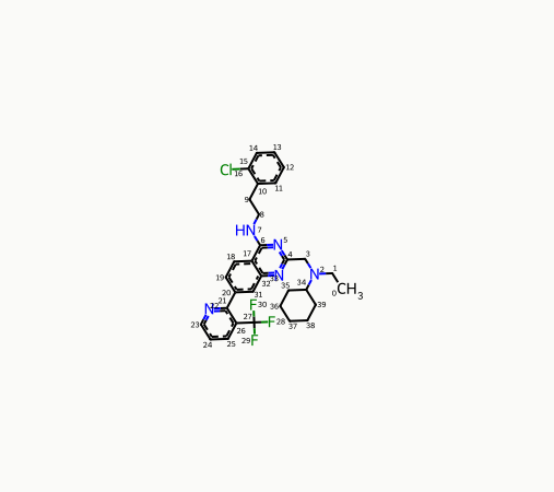 CCN(Cc1nc(NCCc2ccccc2Cl)c2ccc(-c3ncccc3C(F)(F)F)cc2n1)C1CCCCC1